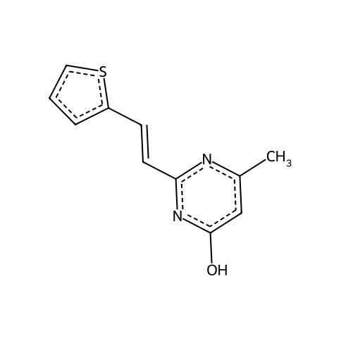 Cc1cc(O)nc(C=Cc2cccs2)n1